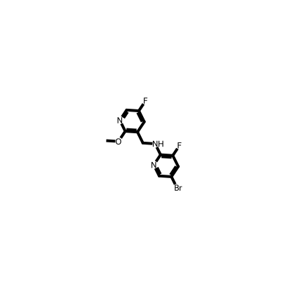 COc1ncc(F)cc1CNc1ncc(Br)cc1F